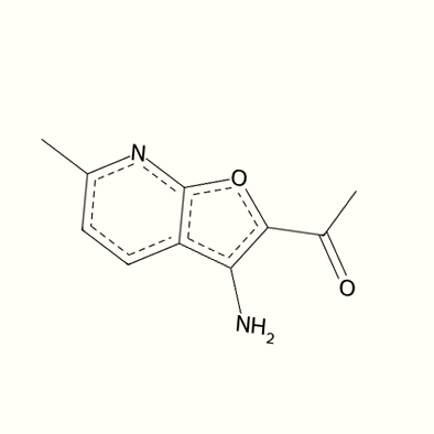 CC(=O)c1oc2nc(C)ccc2c1N